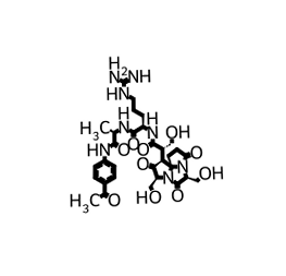 CC(=O)c1ccc(NC(=O)[C@@H](C)NC(=O)[C@@H](CCCNC(=N)N)NC(=O)[C@H](CO)[C@@H]2C(=O)[C@H](CO)N3C(=O)[C@H](CO)N4C(=O)CC[C@@]243)cc1